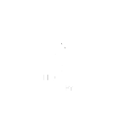 Oc1c(Br)ccc2cnccc12